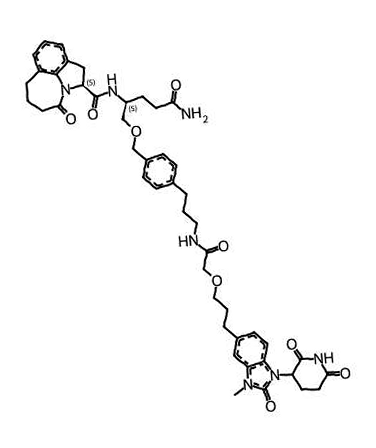 Cn1c(=O)n(C2CCC(=O)NC2=O)c2ccc(CCCOCC(=O)NCCCc3ccc(COC[C@H](CCC(N)=O)NC(=O)[C@@H]4Cc5cccc6c5N4C(=O)CCC6)cc3)cc21